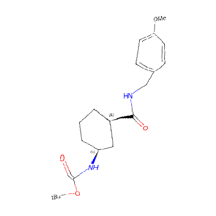 COc1ccc(CNC(=O)[C@@H]2CCC[C@H](NC(=O)OC(C)(C)C)C2)cc1